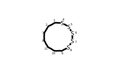 C1CCCSSSSSCCC1